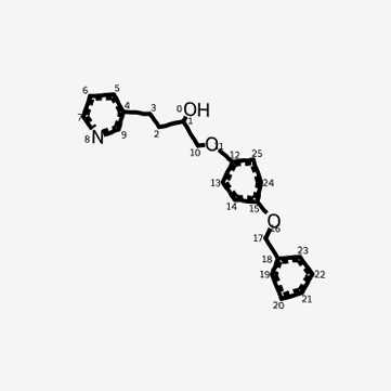 OC(CCc1cccnc1)COc1ccc(OCc2ccccc2)cc1